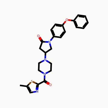 Cc1cnc(C(=O)N2CCN(C3CC(=O)N(c4ccc(Oc5ccccc5)cc4)C3)CC2)s1